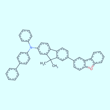 CC1(C)c2cc(-c3ccc4oc5ccccc5c4c3)ccc2-c2ccc(N(c3ccccc3)c3ccc(-c4ccccc4)cc3)cc21